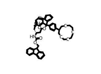 C#CC[C@H](CC(=O)OC(c1ccccc1)(c1ccc(C2CCCCCCCCCCC2)cc1)c1ccccc1Cl)NC(=O)OCC1c2ccccc2-c2ccccc21